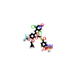 COc1ccc(C(=O)SCC(=O)OC(Cc2c(Cl)c[n+]([O-])cc2Cl)c2ccc(OC(F)F)c(OCC3CC3)c2)cc1NS(C)(=O)=O